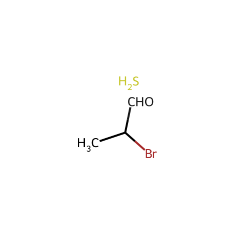 CC(Br)C=O.S